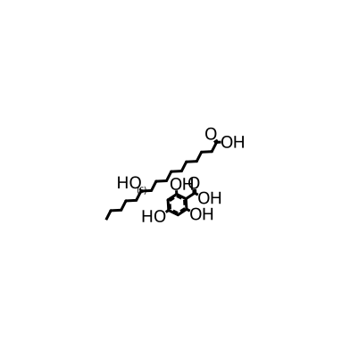 CCCCC[C@H](O)CCCCCCCCCC(=O)O.O=C(O)c1c(O)cc(O)cc1O